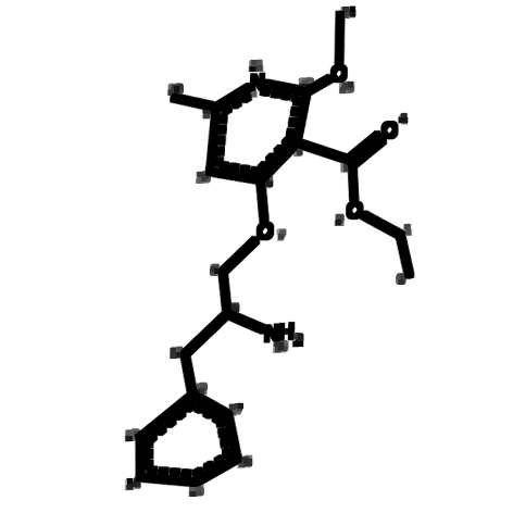 CCOC(=O)c1c(OCC(N)Cc2ccccc2)cc(C)nc1OC